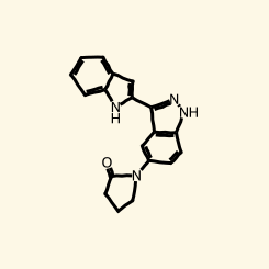 O=C1CCCN1c1ccc2[nH]nc(-c3cc4ccccc4[nH]3)c2c1